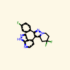 Fc1ccc(-c2nn3c(c2-c2ccnc4[nH]ncc24)CC(F)(F)CC3)cc1